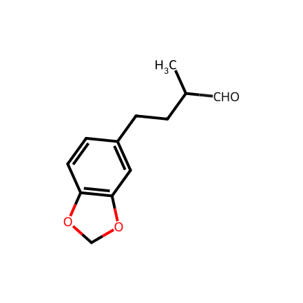 CC(C=O)CCc1ccc2c(c1)OCO2